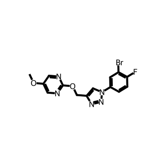 COc1cnc(OCc2cn(-c3ccc(F)c(Br)c3)nn2)nc1